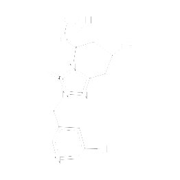 O=C(O)OC1CC(C(F)(F)F)Cc2nn(Cc3cncc(Cl)c3)c(=O)n21